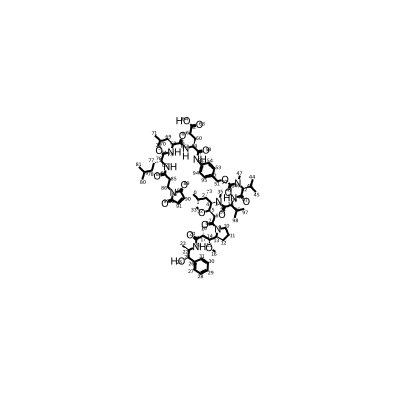 CC[C@H](C)[C@@H]([C@@H](CC(=O)N1CCC[C@H]1[C@H](OC)[C@@H](C)C(=O)N[C@H](C)[C@@H](O)c1ccccc1)OC)N(C)C(=O)[C@@H](NC(=O)[C@H](C(C)C)N(C)C(=O)OCc1ccc(NC(=O)[C@H](CCC(=O)O)NC(=O)[C@H](CC(C)C)NC(=O)[C@@H](CCC(C)C)NC(=O)CCN2C(=O)C=CC2=O)cc1)C(C)C